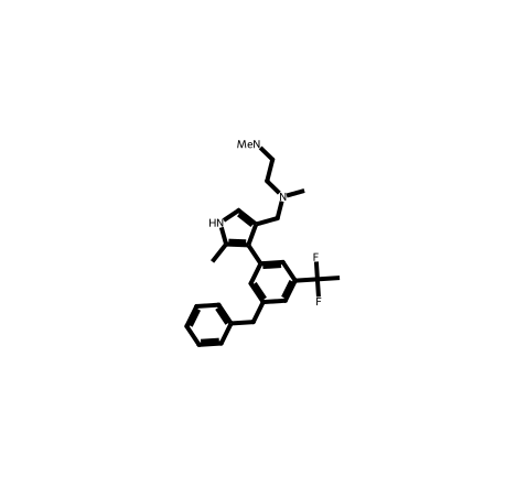 CNCCN(C)Cc1c[nH]c(C)c1-c1cc(Cc2ccccc2)cc(C(C)(F)F)c1